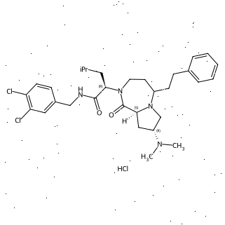 CC(C)C[C@H](C(=O)NCc1ccc(Cl)c(Cl)c1)N1CCC(CCc2ccccc2)N2C[C@H](N(C)C)C[C@H]2C1=O.Cl